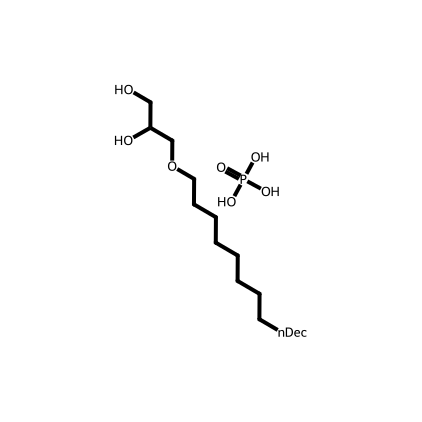 CCCCCCCCCCCCCCCCCCOCC(O)CO.O=P(O)(O)O